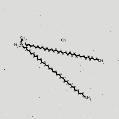 C=CC[N+](C)(CCCCCCCCCCCCCCCCCCCCCCCCCCCCCCCCCC)CCCCCCCCCCCCCCCCCCCCCCCCCCCCCCCCCC.[Cl-]